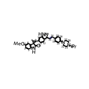 COc1ccc2c(c1)C1(C[C@H]1c1ccc3c(/C=C/c4ccc(N5CCN(C(C)C)CC5)cc4)n[nH]c3c1)C(=O)N2